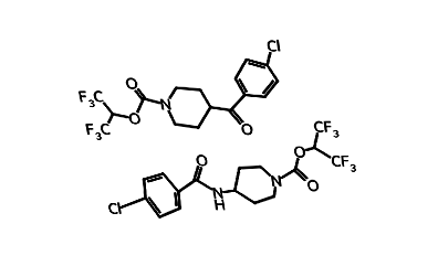 O=C(NC1CCN(C(=O)OC(C(F)(F)F)C(F)(F)F)CC1)c1ccc(Cl)cc1.O=C(c1ccc(Cl)cc1)C1CCN(C(=O)OC(C(F)(F)F)C(F)(F)F)CC1